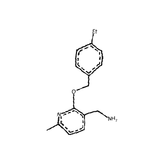 CCc1ccc(COc2nc(C)ccc2CN)cc1